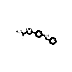 NC(=O)C1CC(c2ccc(NCc3ccccc3)cc2)=NO1